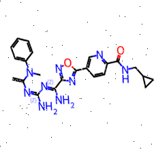 C=C(/N=C(N)\N=C(/N)c1noc(-c2ccc(C(=O)NCC3CC3)nc2)n1)N(C)c1ccccc1